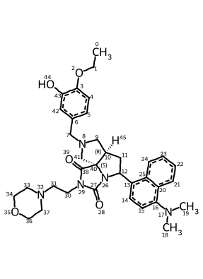 CCOc1ccc(CN2C[C@H]3CC(c4ccc(N(C)C)c5ccccc45)N4C(=O)N(CCN5CCOCC5)C(=O)[C@@]34C2)cc1O